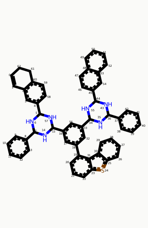 C1=Cc2cc(C3NC(c4ccccc4)NC(c4cc(-c5cccc6sc7ccccc7c56)cc(C5NC(c6ccccc6)NC(c6ccc7ccccc7c6)N5)c4)N3)ccc2CC1